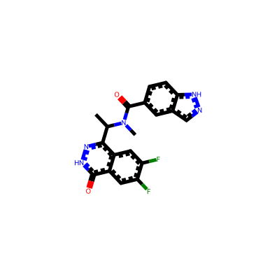 CC(c1n[nH]c(=O)c2cc(F)c(F)cc12)N(C)C(=O)c1ccc2[nH]ncc2c1